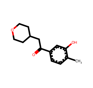 Cc1ccc(C(=O)CC2CCOCC2)cc1O